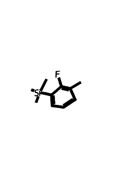 Cc1cccc([Si](C)(C)C)c1F